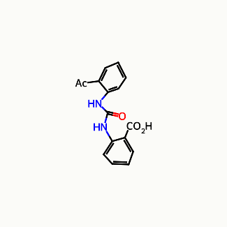 CC(=O)c1ccccc1NC(=O)Nc1ccccc1C(=O)O